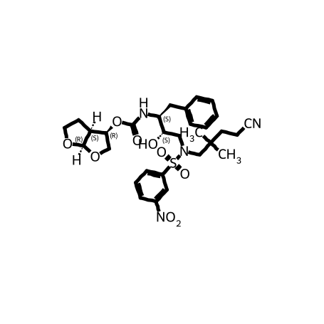 CC(C)(CCC#N)CN(C[C@H](O)[C@H](Cc1ccccc1)NC(=O)O[C@H]1CO[C@H]2OCC[C@H]21)S(=O)(=O)c1cccc([N+](=O)[O-])c1